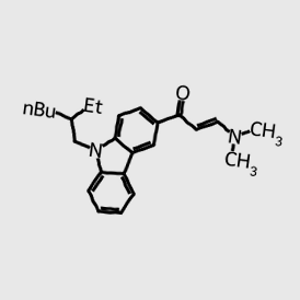 CCCCC(CC)Cn1c2ccccc2c2cc(C(=O)C=CN(C)C)ccc21